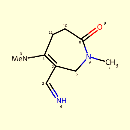 CNC1=C(C=N)CN(C)C(=O)CC1